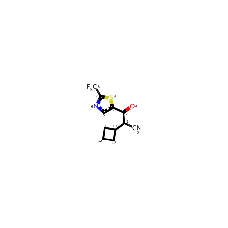 N#CC(C(=O)c1cnc(C(F)(F)F)s1)C1CCC1